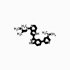 C=N/C(C)=C\N(C)c1nccc2[nH]c(-c3n[nH]c4ccc(-c5cncc(N(C)C)c5)cc34)cc12